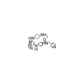 NC1CCC(Nc2cc(Nc3ccc(C(=O)NCc4ccncc4)cc3)c3nccn3n2)CC1